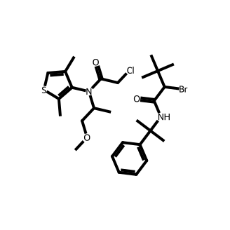 CC(C)(NC(=O)C(Br)C(C)(C)C)c1ccccc1.COCC(C)N(C(=O)CCl)c1c(C)csc1C